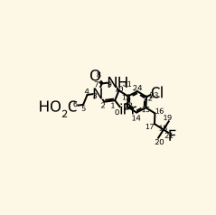 CC(C)C1=CN(CCC(=O)O)C(=O)N[C@@]1(C)c1ccc(CCC(C)(C)F)c(Cl)c1